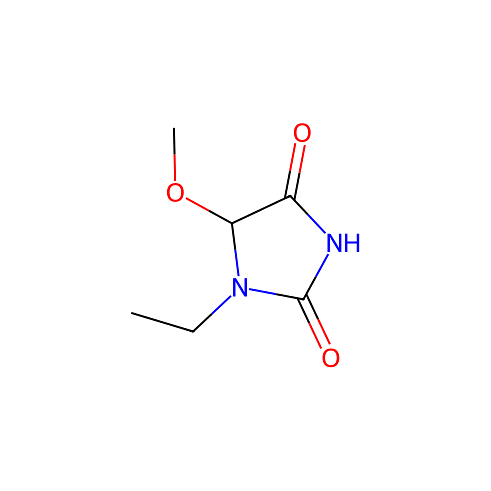 CCN1C(=O)NC(=O)C1OC